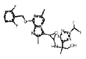 Cc1cn2c(C3OC3NC(C)(CO)c3nnn(C(F)F)n3)c(C)nc2c(OCc2c(F)cccc2F)n1